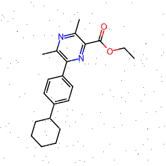 CCOC(=O)c1nc(-c2ccc(C3CCCCC3)cc2)c(C)nc1C